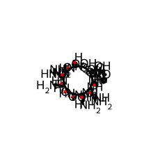 CC(C)CC1NC(=O)C(CC(C)C)NC(=O)C(CCCNC(=N)N)NC(=O)C(CCCCN)NC(=O)C(C)(C)NC(=O)C(CC(C)C)NC(=O)C(CCCCN)NC(=O)C(CCCNC(=N)N)NC(=O)C(CC(C)C)NC(=O)C(NC(=O)C(CO)NC(=O)C(C)NC(=O)c2ccccn2)CSSCC(CO)NC1=O